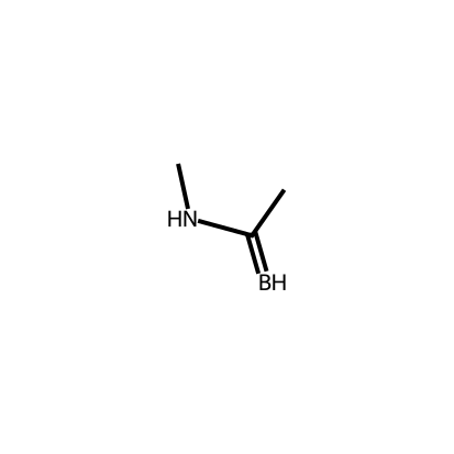 B=C(C)NC